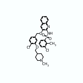 Cc1c(Cl)cccc1S(=O)(=O)Nc1nc2ccccc2cc1OCc1ccc(Cl)c(OCC2CCN(C)CC2)c1